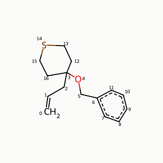 C=CCC1(OCc2ccccc2)CCSCC1